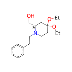 CCOC1(OCC)CCN(CCc2ccccc2)[C@H](CO)C1